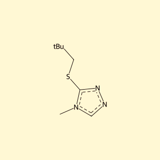 Cn1cnnc1SCC(C)(C)C